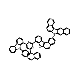 c1ccc(-n2c3ccccc3c3cccc(-c4nc(-c5cccc6ccccc56)nc(-c5cccc6c5oc5ccc7ccc(-n8c9cc%10ccccc%10cc9c9c%10ccccc%10ccc98)cc7c56)n4)c32)cc1